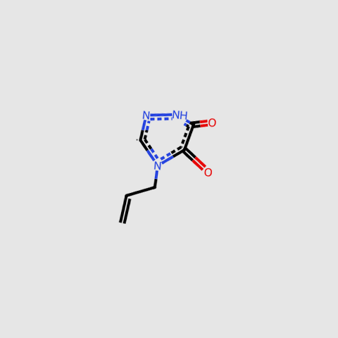 C=CCn1[c]n[nH]c(=O)c1=O